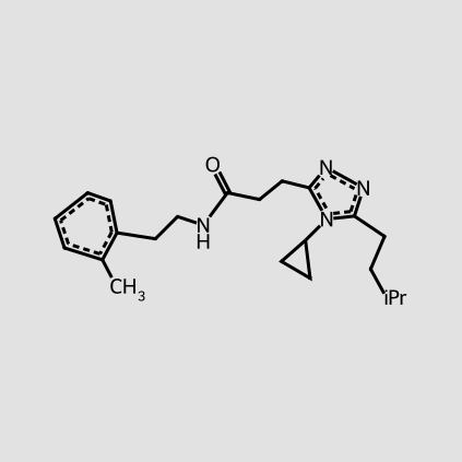 Cc1ccccc1CCNC(=O)CCc1nnc(CCC(C)C)n1C1CC1